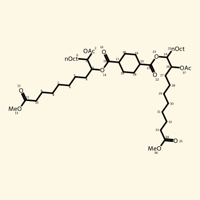 CCCCCCCCC(OC(C)=O)C(CCCCCCCC(=O)OC)OC(=O)C1CCC(C(=O)OC(CCCCCCCC)C(CCCCCCCC(=O)OC)OC(C)=O)CC1